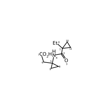 CCC1(C(=O)NC2(CC(=O)O)CC2)CC1